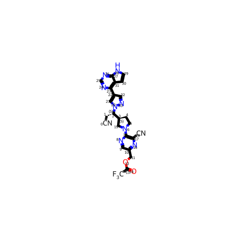 N#CC[C@@H]([C@H]1CCN(c2ncc(COC(=O)C(F)(F)F)nc2C#N)C1)n1cc(-c2ncnc3[nH]ccc23)cn1